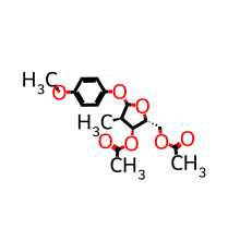 COc1ccc(OC2O[C@H](COC(C)=O)[C@@H](OC(C)=O)[C@H]2C)cc1